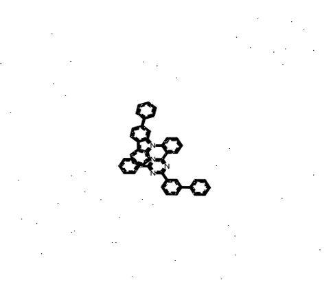 c1ccc(-c2cccc(-c3nc(-c4ccccc4)nc(-c4ccccc4-n4c5ccccc5c5ccc(-c6ccccc6)cc54)n3)c2)cc1